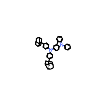 c1ccc(-n2c3ccccc3c3cc(N(c4ccc(C56CC7CC(CC(C7)C5)C6)cc4)c4ccc(C56CC7CC8CC(C5)C6(C8)C7)cc4)ccc32)cc1